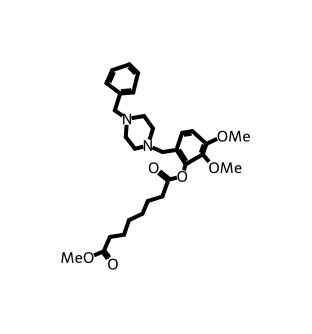 COC(=O)CCCCCCC(=O)Oc1c(CN2CCN(Cc3ccccc3)CC2)ccc(OC)c1OC